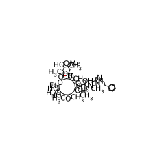 CC[C@H]1OC(=O)[C@H](C)[C@@H](O[C@H]2C[C@@](C)(OC)[C@@H](O)[C@H](C)O2)[C@H](C)[C@@H](O[C@@H]2O[C@H](C)C[C@H](N(C)Cc3cnn(CCc4ccccc4)n3)[C@H]2O)[C@](C)(O)C[C@@H](C)C(=O)[C@H](C)[C@@H](O)[C@]1(C)O